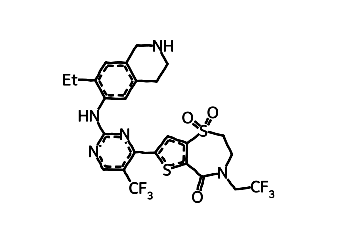 CCc1cc2c(cc1Nc1ncc(C(F)(F)F)c(-c3cc4c(s3)C(=O)N(CC(F)(F)F)CCS4(=O)=O)n1)CCNC2